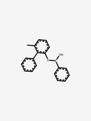 Cc1cccc(OB(O)c2ccccc2)c1-c1ccccc1